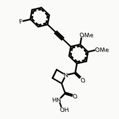 COc1cc(C(=O)N2CCC2C(=O)NO)cc(C#Cc2cccc(F)c2)c1OC